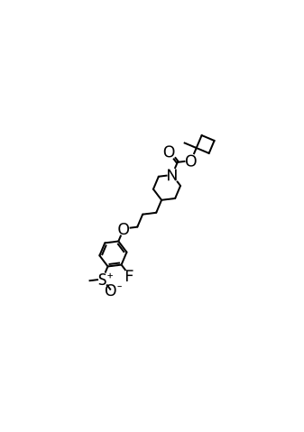 C[S+]([O-])c1ccc(OCCCC2CCN(C(=O)OC3(C)CCC3)CC2)cc1F